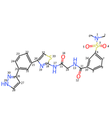 CN(C)S(=O)(=O)c1cccc(C(=O)NCC(=O)Nc2nc(-c3cccc(-c4cc[nH]n4)c3)cs2)c1